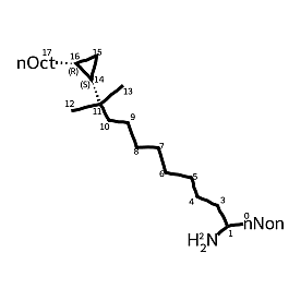 CCCCCCCCCC(N)CCCCCCCCC(C)(C)[C@H]1C[C@H]1CCCCCCCC